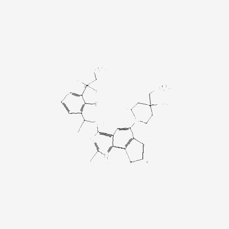 COCC1(O)CCN(c2cc3c(NC(C)c4cccc(C(F)(F)COC)c4F)nc(C)nc3c3c2CCC3)CC1